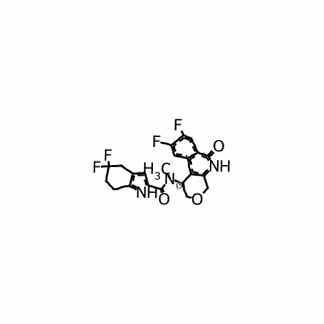 CN(C(=O)c1cc2c([nH]1)CCC(F)(F)C2)[C@@H]1COCc2[nH]c(=O)c3cc(F)c(F)cc3c21